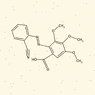 COc1cc(C(=O)O)c(/N=N/c2ccccc2C#N)c(OC)c1OC